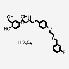 CC(=O)O.OCc1cc([C@@H](O)CNCCc2ccc(OCCOCc3cccc(F)c3)cc2)ccc1O